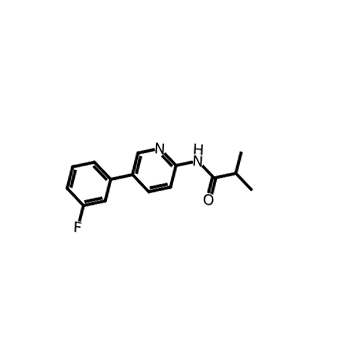 CC(C)C(=O)Nc1ccc(-c2cccc(F)c2)cn1